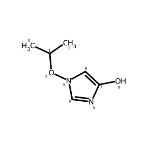 CC(C)On1cnc(O)c1